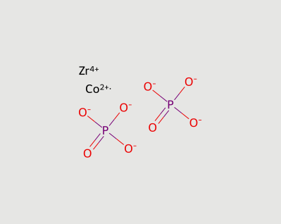 O=P([O-])([O-])[O-].O=P([O-])([O-])[O-].[Co+2].[Zr+4]